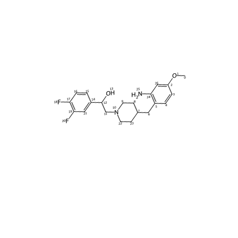 COc1ccc(CC2CCN(CC(O)c3ccc(F)c(F)c3)CC2)c(N)c1